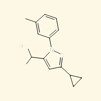 CC(C)c1cc(C2CC2)nn1-c1cccc(Cl)c1